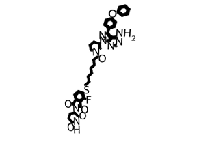 Nc1ncnc2c1c(-c1ccc(Oc3ccccc3)cc1)nn2[C@@H]1CCCN(C(=O)CCCCCCCSc2ccc3c(c2F)C(=O)N(C2CCC(=O)NC2=O)C3=O)C1